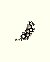 CC(=O)O[C@H]1CC[C@@]2(C)[C@@H](CC[C@@H]3[C@@H]2CC[C@]2(C)C(n4ccnn4)=CC[C@@H]32)C1